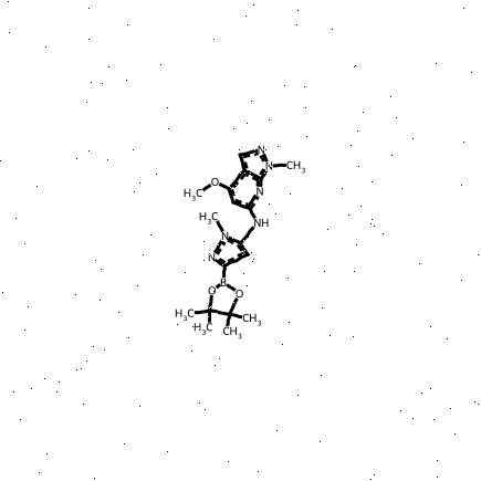 COc1cc(Nc2cc(B3OC(C)(C)C(C)(C)O3)nn2C)nc2c1cnn2C